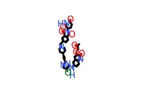 CC(=O)COc1cc2cc(Nc3nc(C#CC4CCN(Cc5ccc6c(c5)C(=O)N(C5CCC(=O)NC5=O)C6=O)CC4)ncc3Cl)ccc2n(C)c1=O